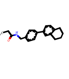 CCC(=O)NCc1ccc(-c2ccc3c(c2)CCCC3)cc1